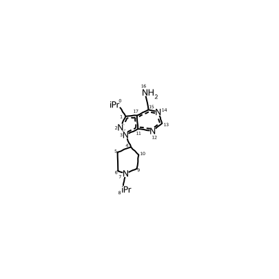 CC(C)c1nn(C2CCN(C(C)C)CC2)c2ncnc(N)c12